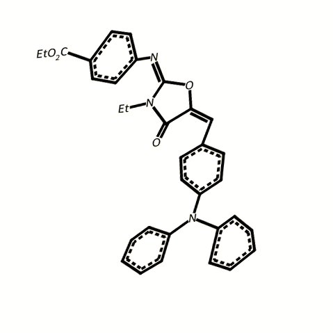 CCOC(=O)c1ccc(/N=C2/O/C(=C/c3ccc(N(c4ccccc4)c4ccccc4)cc3)C(=O)N2CC)cc1